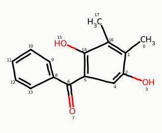 Cc1c(O)cc(C(=O)c2ccccc2)c(O)c1C